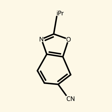 CC(C)c1nc2ccc(C#N)cc2o1